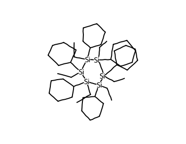 CC[Si]1(C2CCCCC2)[Si](CC)(C2CCCCC2)[Si](CC)(C2CCCCC2)[Si](CC)(C2CCCCC2)[Si](CC)(C2CCCCC2)[Si]1(CC)C1CCCCC1